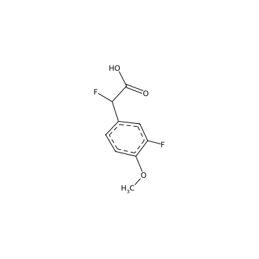 COc1ccc(C(F)C(=O)O)cc1F